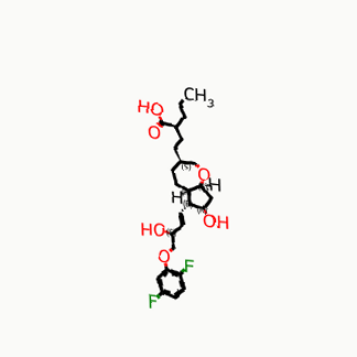 CCCC(CC[C@@H]1CC[C@@H]2[C@@H](C=C[C@H](O)COc3cc(F)ccc3F)[C@H](O)C[C@@H]2OC1)C(=O)O